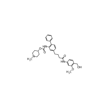 COc1cc(NC(=O)CCCc2ccc(-c3ccccc3)c(NC(=O)OC3CCN(C)CC3)c2)ccc1CO